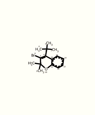 CC(C)(C)C1=C(Br)C(C)(C)Oc2ccccc21